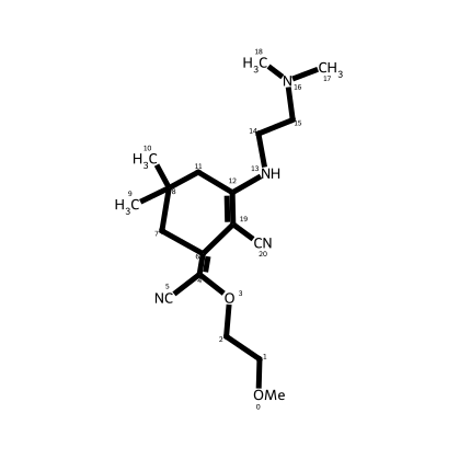 COCCO/C(C#N)=C1/CC(C)(C)CC(NCCN(C)C)=C1C#N